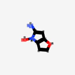 Nc1cc2occc2n1O